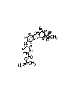 CC(C)OC(=O)N1CCC(O[C@H]2CC[C@H](Oc3ccc(S(C)(=O)=O)cc3F)CC2)CC1